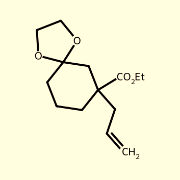 C=CCC1(C(=O)OCC)CCCC2(C1)OCCO2